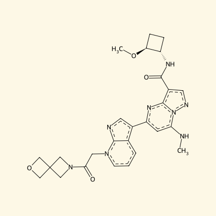 CNc1cc(-c2cnc3n(CC(=O)N4CC5(COC5)C4)cccc2-3)nc2c(C(=O)N[C@H]3CC[C@@H]3OC)cnn12